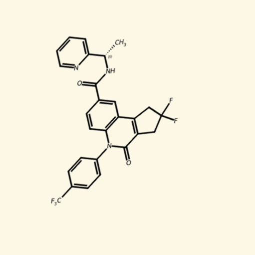 C[C@H](NC(=O)c1ccc2c(c1)c1c(c(=O)n2-c2ccc(C(F)(F)F)cc2)CC(F)(F)C1)c1ccccn1